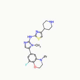 CC(C)N1CCOc2c(F)cc(-c3cnc(Nc4nc(C5CCNCC5)cs4)n3C)cc21